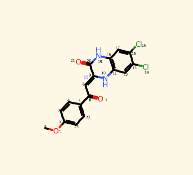 COc1ccc(C(=O)/C=C2\Nc3cc(Cl)c(Cl)cc3NC2=O)cc1